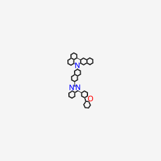 c1ccc2cc3c(cc2c1)-c1cccc2cccc(c12)N3c1ccc2cc(-c3nc(-c4ccc5oc6ccccc6c5c4)c4ccccc4n3)ccc2c1